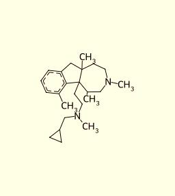 Cc1cccc2c1C1(CCN(C)CC3CC3)C(C)CN(C)CCC1(C)C2